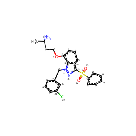 CC(N)CCOc1cccc2c(S(=O)(=O)c3ccccc3)nn(Cc3cccc(Cl)c3)c12